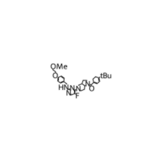 COCCOc1ccc(CNc2ncc(F)c(N3CCC4C(CCN4C(=O)C4=CC=C(C(C)(C)C)CC4)C3)n2)cc1